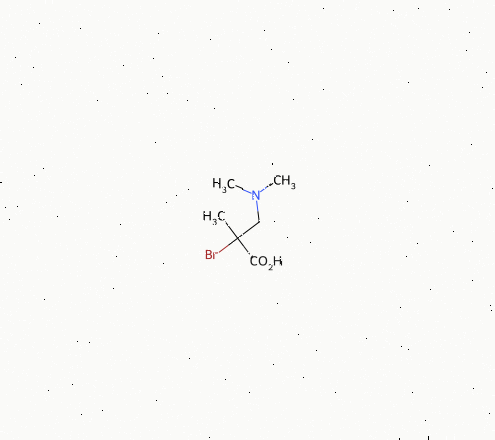 CN(C)CC(C)(Br)C(=O)O